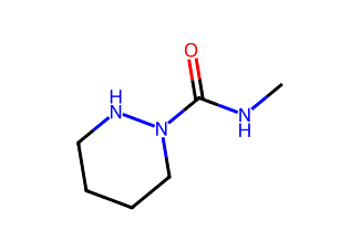 CNC(=O)N1CCCCN1